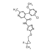 COc1cnc(Cl)cc1-c1cc(C)ncc1C(=O)Nc1nnc(OCC2CC2(C)F)s1